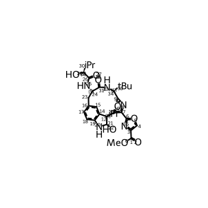 COC(=O)c1coc(-c2nc3oc2[C@]2(C(C)C)c4cc(ccc4NC2O)C[C@H](NC(=O)[C@@H](O)C(C)C)C(=O)N[C@H]3C(C)(C)C)n1